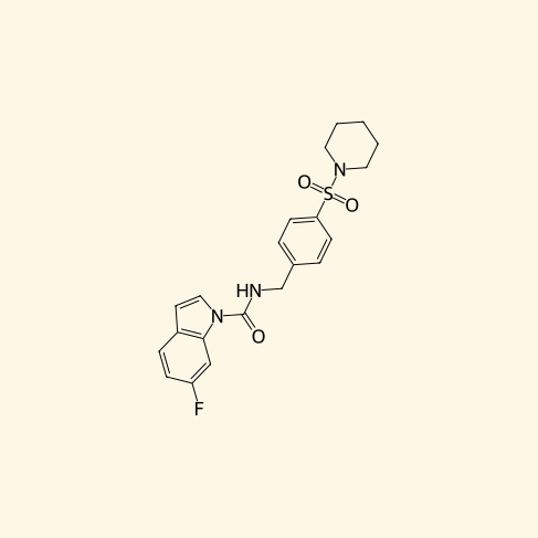 O=C(NCc1ccc(S(=O)(=O)N2CCCCC2)cc1)n1ccc2ccc(F)cc21